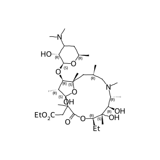 CCOC(=O)CC1(C)C(=O)O[C@H](CC)[C@@](C)(O)[C@H](O)[C@@H](C)N(C)C[C@H](C)C[C@]2(C)O[C@@]1(O)[C@H](C)[C@H]2O[C@@H]1O[C@H](C)CC(N(C)C)[C@H]1O